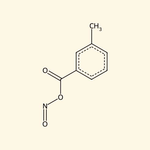 Cc1cccc(C(=O)ON=O)c1